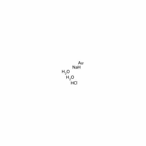 Cl.O.O.[Au].[NaH]